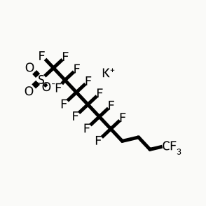 O=S(=O)([O-])C(F)(F)C(F)(F)C(F)(F)C(F)(F)C(F)(F)C(F)(F)CCCC(F)(F)F.[K+]